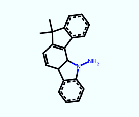 CC1(C)C2=C(c3ccccc31)C1C(C=C2)c2ccccc2N1N